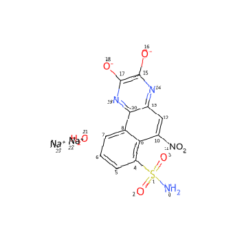 NS(=O)(=O)c1cccc2c1c([N+](=O)[O-])cc1nc([O-])c([O-])nc12.O.[Na+].[Na+]